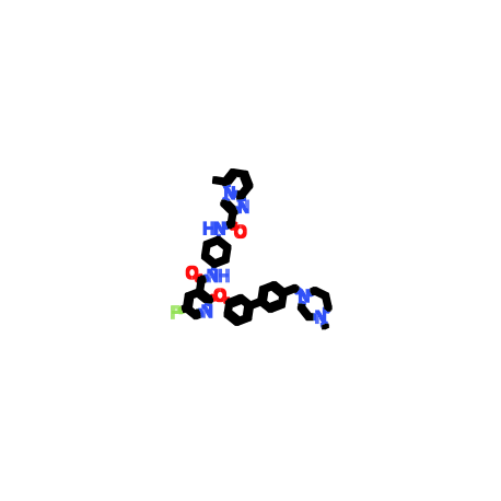 Cc1cccc2nc(C(=O)N[C@H]3CC[C@H](NC(=O)c4cc(F)cnc4Oc4cccc(-c5ccc(CN6CCCN(C)CC6)cc5)c4)CC3)cn12